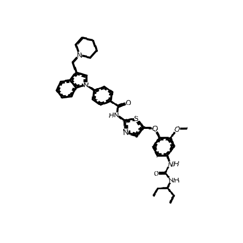 CCC(CC)NC(=O)Nc1ccc(Oc2cnc(NC(=O)c3ccc(-n4cc(CN5CCCCC5)c5ccccc54)cc3)s2)c(OC)c1